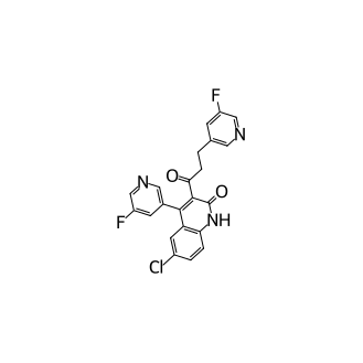 O=C(CCc1cncc(F)c1)c1c(-c2cncc(F)c2)c2cc(Cl)ccc2[nH]c1=O